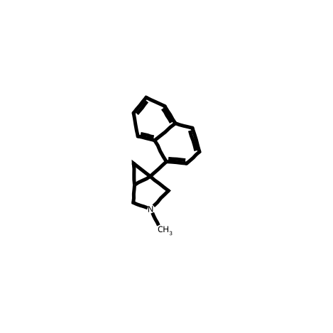 CN1CC2CC2(c2cccc3ccccc23)C1